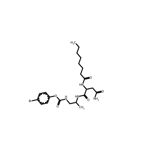 CCCCCCCC(=O)NC(CC(N)=O)C(=O)NC(C)CNC(=O)Oc1ccc(Br)cc1